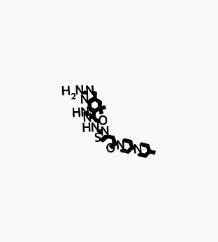 CC1CCN(C2CCN(C(=O)Cc3csc(NC(=O)c4n[nH]c5c4C(C)(C)Cc4cnc(N)nc4-5)n3)CC2)CC1